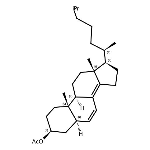 CC(=O)O[C@H]1CC[C@@]2(C)[C@@H](C=CC3=C4CC[C@H]([C@H](C)CCCC(C)C)[C@@]4(C)CC[C@@H]32)C1